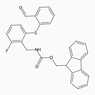 O=Cc1ccccc1Sc1cccc(F)c1CNC(=O)OCC1c2ccccc2-c2ccccc21